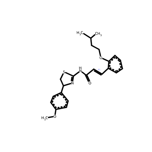 COc1ccc(C2CSC(NC(=O)/C=C/c3ccccc3OCCC(C)C)=N2)cc1